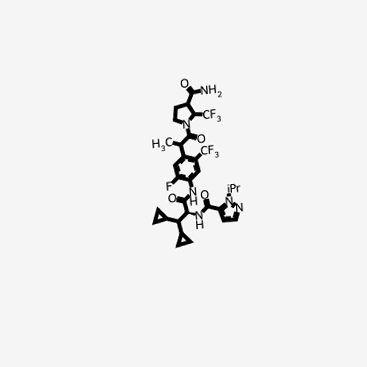 CC(C(=O)N1CCC(C(N)=O)C1C(F)(F)F)c1cc(F)c(NC(=O)[C@@H](NC(=O)c2ccnn2C(C)C)C(C2CC2)C2CC2)cc1C(F)(F)F